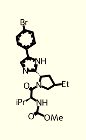 CCC1C[C@@H](c2ncc(-c3ccc(Br)cc3)[nH]2)N(C(=O)[C@@H](NC(=O)OC)C(C)C)C1